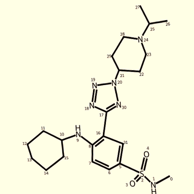 CNS(=O)(=O)c1ccc(NC2CCCCC2)c(-c2nnn(C3CCN(C(C)C)CC3)n2)c1